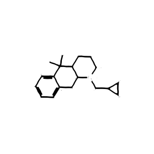 CC1(C)c2ccccc2CC2C1CCCN2CC1CC1